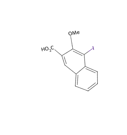 COc1c(C(=O)O)cc2ccccc2c1I